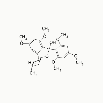 CCCCOC(O)(c1c(OC)cc(OC)cc1OC)c1c(OC)cc(OC)cc1OC